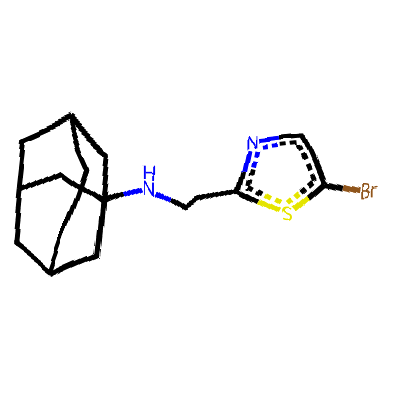 Brc1cnc(CNC23CC4CC(CC(C4)C2)C3)s1